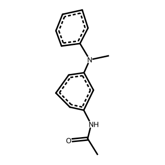 CC(=O)Nc1cccc(N(C)c2ccccc2)c1